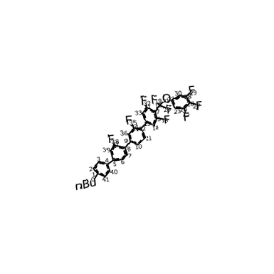 CCCCc1ccc(-c2ccc(-c3ccc(-c4cc(F)c(C(F)(F)Oc5cc(F)c(F)c(F)c5)c(F)c4)c(F)c3)c(F)c2)cc1